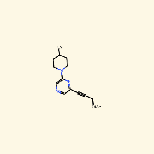 COCC#Cc1cncc(N2CCC(C#N)CC2)n1